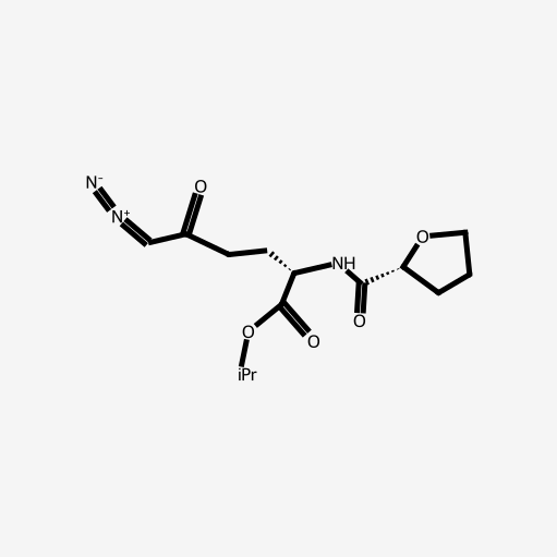 CC(C)OC(=O)[C@H](CCC(=O)C=[N+]=[N-])NC(=O)[C@H]1CCCO1